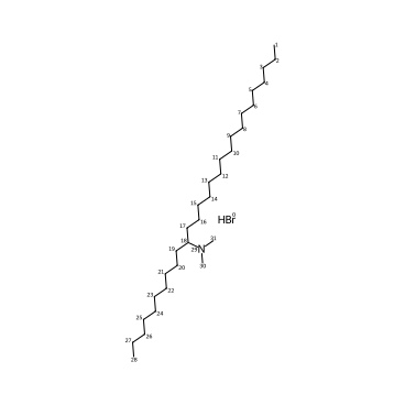 Br.CCCCCCCCCCCCCCCCCC(CCCCCCCCCC)N(C)C